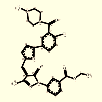 CCOC(=O)c1cccc(N2N=C(C)/C(=C/c3ccc(-c4ccc(Cl)c(C(=O)N5CCN(C)CC5)c4)o3)C2=O)c1